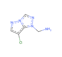 NCn1ncn2ncc(Cl)c12